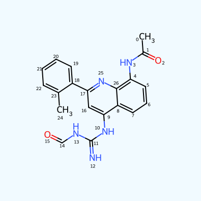 CC(=O)Nc1cccc2c(NC(=N)NC=O)cc(-c3ccccc3C)nc12